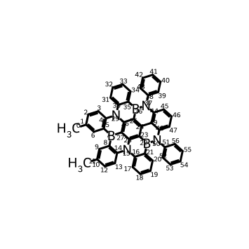 Cc1ccc2c(c1)B1c3cc(C)ccc3N3c4ccccc4B4c5c6c7c(c1c53)N2c1ccccc1B7N(c1ccccc1)c1cccc(c1-6)N4c1ccccc1